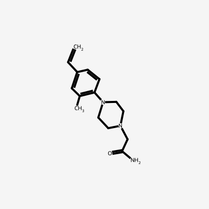 C=Cc1ccc(N2CCN(CC(N)=O)CC2)c(C)c1